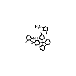 Cc1cccc(N)c1Oc1ccc(C2(c3ccc(Oc4c(C)cccc4N)cc3)c3ccccc3-c3ccccc32)cc1